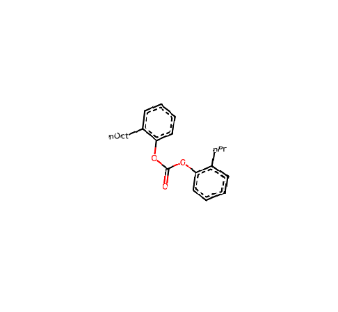 CCCCCCCCc1ccccc1OC(=O)Oc1ccccc1CCC